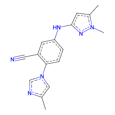 Cc1cn(-c2ccc(Nc3cc(C)n(C)n3)cc2C#N)cn1